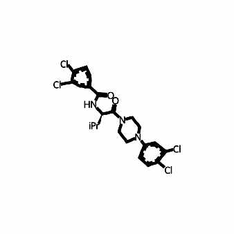 CC(C)[C@@H](NC(=O)c1ccc(Cl)c(Cl)c1)C(=O)N1CCN(c2ccc(Cl)c(Cl)c2)CC1